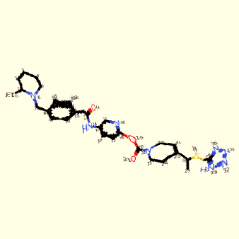 CCC1CCCCN1Cc1ccc(C(=O)Nc2ccc(OC(=O)N3CCC(C(C)Sc4nnn[nH]4)CC3)nc2)cc1